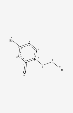 O=c1cc(Br)ccn1CCF